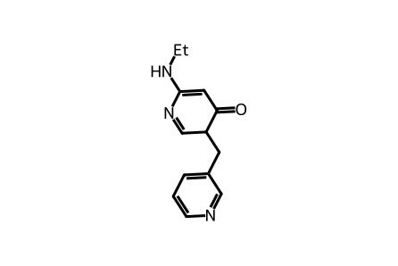 [CH2]CNC1=CC(=O)C(Cc2cccnc2)C=N1